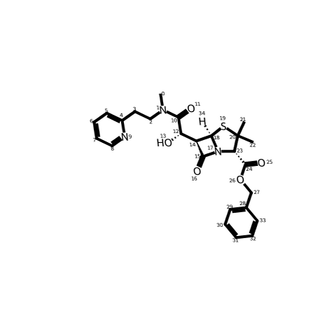 CN(CCc1ccccn1)C(=O)[C@@H](O)[C@@H]1C(=O)N2[C@@H]1SC(C)(C)[C@@H]2C(=O)OCc1ccccc1